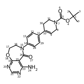 CC(C)(C)OC(=O)N1CC=C(c2ccc(N3CCOc4ncnc(N)c4C3=O)cc2)CC1